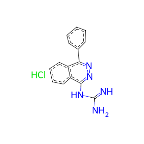 Cl.N=C(N)Nc1nnc(-c2ccccc2)c2ccccc12